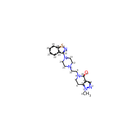 Cn1ncc2c1CCN(CCN1CCN(c3nsc4ccccc34)CC1)C2=O